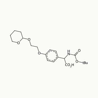 CC(C)(C)OC(=O)NC(C(=O)O)c1ccc(OCCOC2CCCCO2)cc1